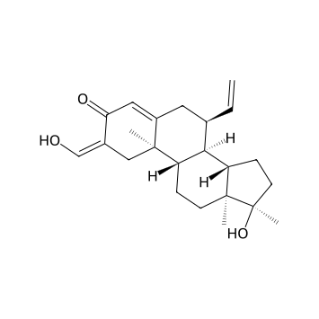 C=C[C@@H]1CC2=CC(=O)/C(=C\O)C[C@]2(C)[C@H]2CC[C@@]3(C)[C@@H](CC[C@@]3(C)O)[C@H]12